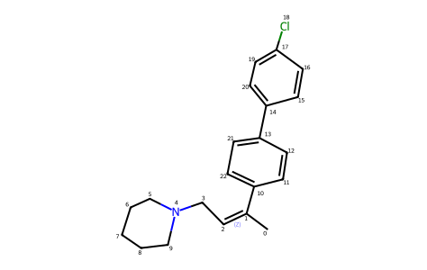 C/C(=C/CN1CCCCC1)c1ccc(-c2ccc(Cl)cc2)cc1